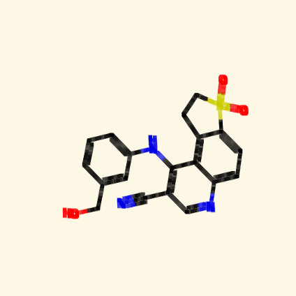 N#Cc1cnc2ccc3c(c2c1Nc1cccc(CO)c1)CCS3(=O)=O